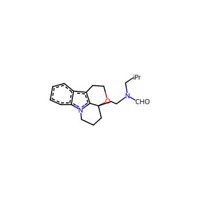 CC(C)CN(C=O)CCC12CCCn3c1c(c1ccccc13)CCO2